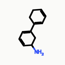 NC1C=CC=C(C2=CC=CCC2)C1